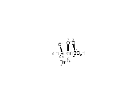 O=C([O-])O.O=C([O-])O.O=C([O-])O.[Tm+3]